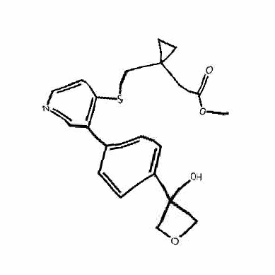 COC(=O)CC1(CSc2ccncc2-c2ccc(C3(O)COC3)cc2)CC1